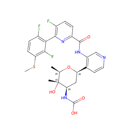 CSc1ccc(F)c(-c2nc(C(=O)Nc3cnccc3[C@H]3C[C@@H](NC(=O)O)[C@](C)(O)[C@@H](C)O3)ccc2F)c1F